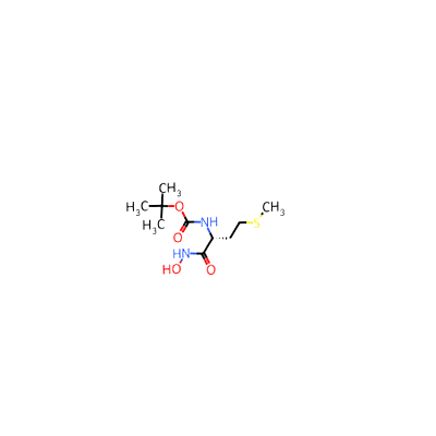 CSCC[C@@H](NC(=O)OC(C)(C)C)C(=O)NO